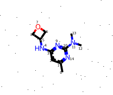 Cc1cc(NC2COC2)nc(N(C)C)n1